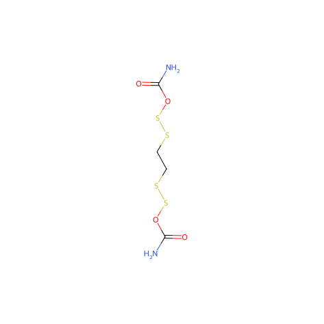 NC(=O)OSSCCSSOC(N)=O